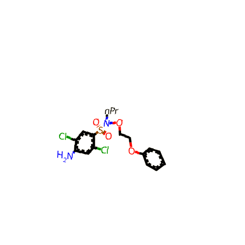 CCCN(OCCOc1ccccc1)S(=O)(=O)c1cc(Cl)c(N)cc1Cl